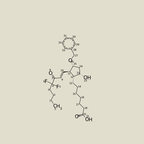 CCCCC(F)(F)C(=O)/C=C/[C@@H]1[C@@H](CCCCCCC(=O)O)[C@@H](O)C[C@H]1OCc1ccccc1